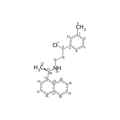 Cc1cccc(C(Cl)CCN[C@H](C)c2cccc3ccccc23)c1